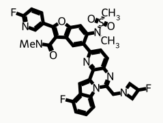 CNC(=O)c1c(-c2ccc(F)nc2)oc2cc(N(C)S(C)(=O)=O)c(-c3ccc4nc(CN5CC(F)C5)n5c6cccc(F)c6cc5c4n3)cc12